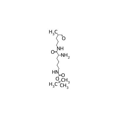 CC(C=O)CCCNC(=O)C(N)CCCCNC(=O)OC(C)(C)C